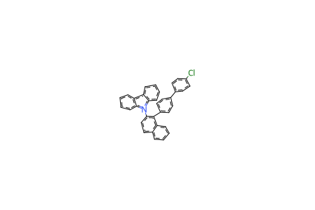 Clc1ccc(-c2ccc(-c3c(-n4c5ccccc5c5ccccc54)ccc4ccccc34)cc2)cc1